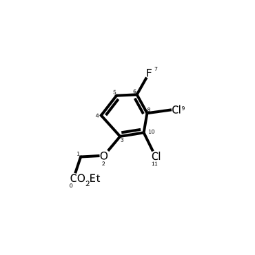 CCOC(=O)COc1ccc(F)c(Cl)c1Cl